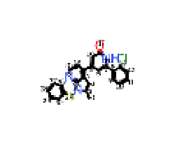 Cc1cc2c(-c3cc(-c4ccccc4Cl)[nH]c(=O)c3)ccnc2n1Sc1ccccc1